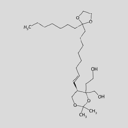 CCCCCCCC1(CCCCCC/C=C/[C@@H]2COC(C)(C)OC2(CO)CCO)OCCO1